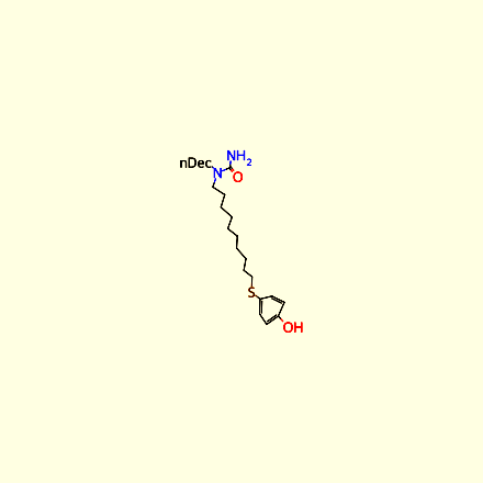 CCCCCCCCCCN(CCCCCCCCCCSc1ccc(O)cc1)C(N)=O